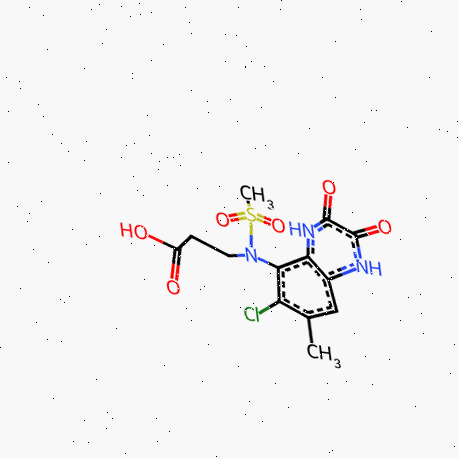 Cc1cc2[nH]c(=O)c(=O)[nH]c2c(N(CCC(=O)O)S(C)(=O)=O)c1Cl